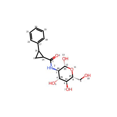 O=C(N[C@@H]1[C@@H](O)[C@H](O)[C@@H](CO)O[C@H]1O)C1CC1c1ccccc1